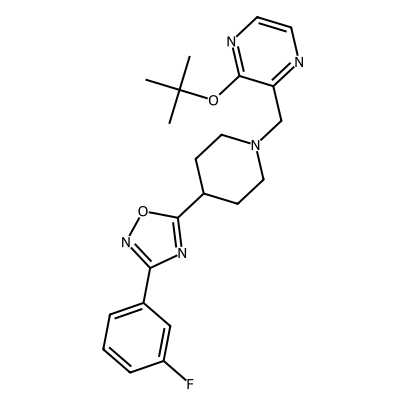 CC(C)(C)Oc1nccnc1CN1CCC(c2nc(-c3cccc(F)c3)no2)CC1